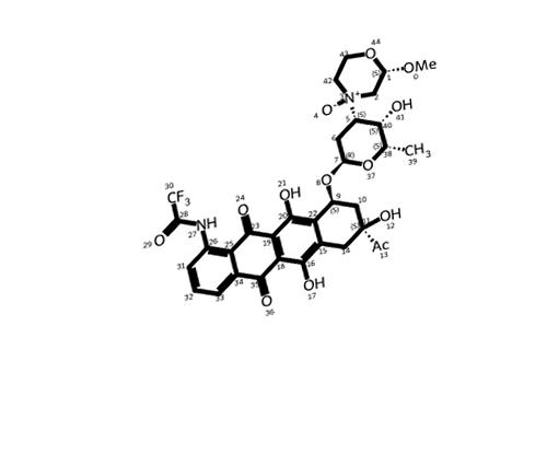 CO[C@@H]1C[N+]([O-])([C@H]2C[C@H](O[C@H]3C[C@](O)(C(C)=O)Cc4c(O)c5c(c(O)c43)C(=O)c3c(NC(=O)C(F)(F)F)cccc3C5=O)O[C@@H](C)[C@H]2O)CCO1